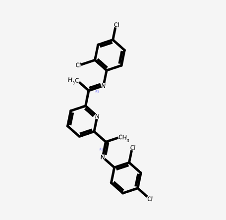 C/C(=N\c1ccc(Cl)cc1Cl)c1cccc(/C(C)=N/c2ccc(Cl)cc2Cl)n1